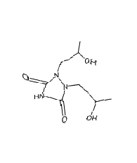 CC(O)Cn1c(=O)[nH]c(=O)n1CC(C)O